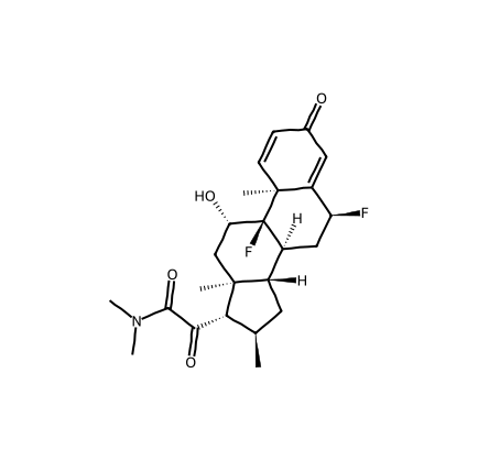 C[C@@H]1C[C@H]2[C@@H]3C[C@H](F)C4=CC(=O)C=C[C@]4(C)[C@@]3(F)[C@@H](O)C[C@]2(C)[C@H]1C(=O)C(=O)N(C)C